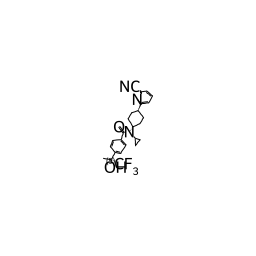 C[C@](O)(c1ccc(C(=O)N(C2CC2)[C@H]2CC[C@H](c3cccc(C#N)n3)CC2)cc1)C(F)(F)F